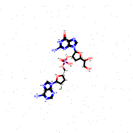 Nc1nc2c(ncn2C2OC(C(O)CO)C[C@@H]2OP(=O)(O)OC[C@@H]2C[C@H](F)C(n3cnc4c(N)ncnc43)O2)c(=O)[nH]1